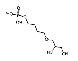 O=P(O)(O)OCCCCOCC(O)CO